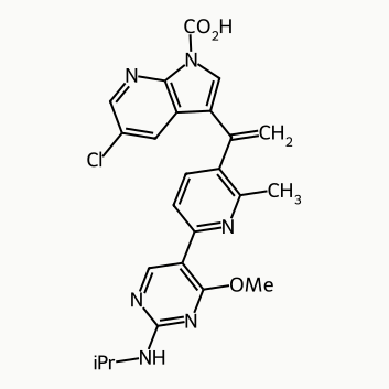 C=C(c1ccc(-c2cnc(NC(C)C)nc2OC)nc1C)c1cn(C(=O)O)c2ncc(Cl)cc12